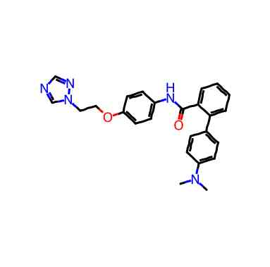 CN(C)c1ccc(-c2ccccc2C(=O)Nc2ccc(OCCn3cncn3)cc2)cc1